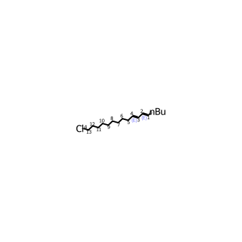 CCCC/C=C/C=C/CCCCCCCCCCl